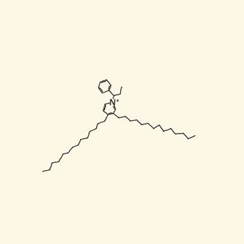 CCCCCCCCCCCCCCc1cc[n+](C(CC)c2ccccc2)cc1CCCCCCCCCCCCCC